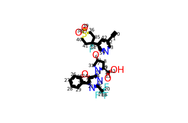 C#Cc1cnc(O[C@H]2C[C@@H](C(=O)O)N(c3nc(C(F)(F)F)nc4c3oc3ccccc34)C2)c(C2(F)CCS(=O)(=O)CC2)c1